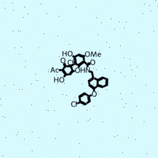 COc1cc(O)c2c(c1C(=O)NCc1ccc(Oc3ccc(Cl)cc3)c3ccccc13)OC1=CC(O)=C(C(C)=O)C(=O)[C@]12C